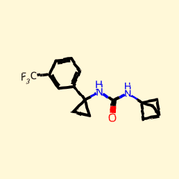 O=C(NC12CC(C1)C2)NC1(c2cccc(C(F)(F)F)c2)CC1